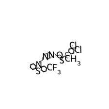 CC(Cc1ccc(Cl)c(Cl)c1)C(=S)OCCN1CCN(CCCN2c3ccccc3Sc3ccc(C(F)(F)F)cc32)CC1